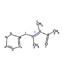 CC(=O)/C(C)=C(\C)CC1=CC=CCC1